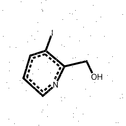 OCc1ncccc1I